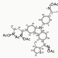 CC(=O)ON=C(C)c1ccc(-n2c3ccc(C(CC(C)N(OC(C)=O)C(C)=O)=NOC(C)=O)cc3c3cc(C(=NOC(C)=O)c4sccc4C)ccc32)cc1